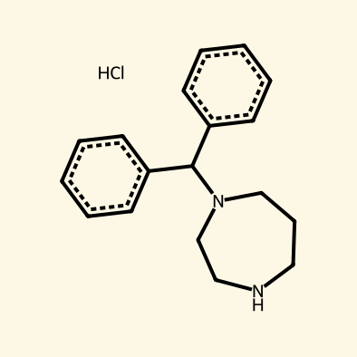 Cl.c1ccc(C(c2ccccc2)N2CCCNCC2)cc1